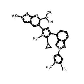 C[C@@H](O)c1nc2nn(C)cc2cc1-c1nc(-c2cccc3nn(-c4cc(C(F)(F)F)n(C)n4)cc23)c(C2CC2)n1C